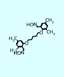 Cc1cc(C)c(OCCCCCOc2cc(C)cc(C)c2/C=N\O)c(/C=N/O)c1